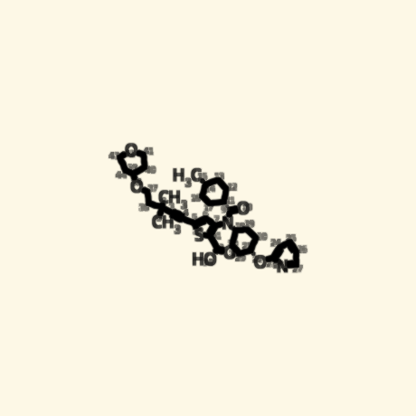 CC(C)(C#Cc1cc(N(C(=O)[C@H]2CC[C@H](C)CC2)[C@H]2CC[C@H](Oc3ccccn3)CC2)c(C(=O)O)s1)CCOC1CCOCC1